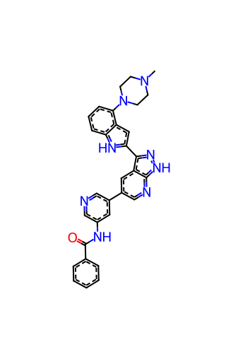 CN1CCN(c2cccc3[nH]c(-c4n[nH]c5ncc(-c6cncc(NC(=O)c7ccccc7)c6)cc45)cc23)CC1